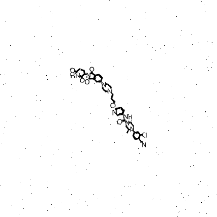 CC1CN(C(=O)Nc2ccc(OCCCN3CCN(c4ccc5c(c4)C(=O)N(C4CCC(=O)NC4=O)C5=O)CC3)nc2)[C@H](C)CN1c1ccc(C#N)c(Cl)c1